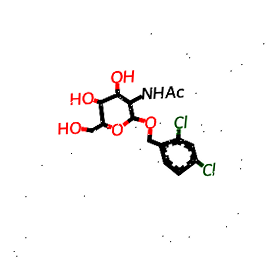 CC(=O)NC1C(OCc2ccc(Cl)cc2Cl)OC(CO)C(O)C1O